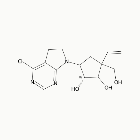 C=CC1(CO)CC(N2CCc3c(Cl)ncnc32)[C@@H](O)C1O